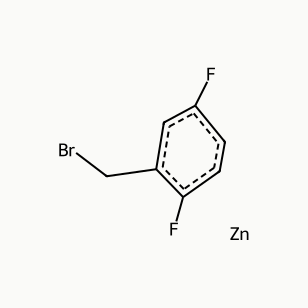 Fc1ccc(F)c(CBr)c1.[Zn]